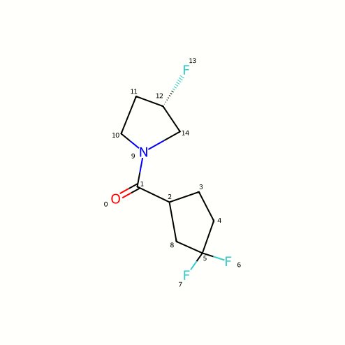 O=C(C1CCC(F)(F)C1)N1CC[C@H](F)C1